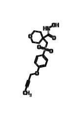 CC#CCOc1ccc(S(=O)(=O)CC2(C(=O)NO)CCOCC2)cc1